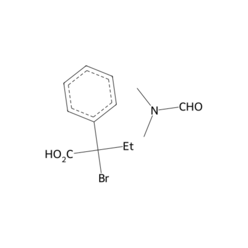 CCC(Br)(C(=O)O)c1ccccc1.CN(C)C=O